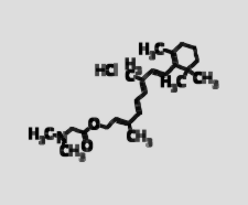 CC(C=CC1=C(C)CCCC1(C)C)=CC=CC(C)=CCOC(=O)CN(C)C.Cl